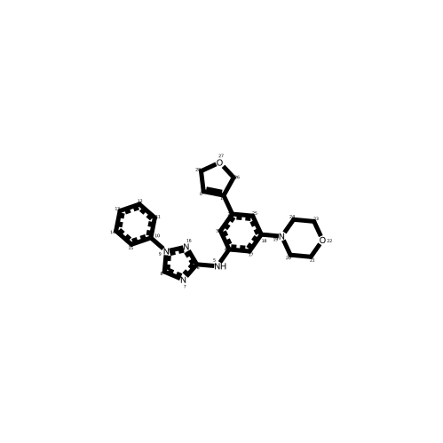 C1=C(c2cc(Nc3ncn(-c4ccccc4)n3)cc(N3CCOCC3)c2)COC1